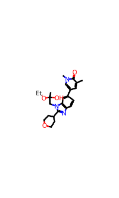 CCOC(C)(O)Cn1c(C2CCOCC2)nc2ccc(-c3cc(C)c(=O)n(C)c3)cc21